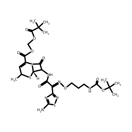 CC1C=C(C(=O)OCOC(=O)C(C)(C)C)N2C(=O)C(NC(=O)C(=NOCCCNC(=O)OC(C)(C)C)c3nsc(N)n3)[C@@H]2S1